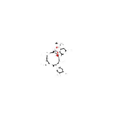 CC[C@H]1OC(=O)[C@H](C)[C@@H](O[C@H]2C[C@@](C)(OC)[C@@H](O)[C@H](C)O2)[C@H](C)[C@@H](OC2O[C@H](C)C[C@H](N(C)C)[C@H]2N(C(C)=O)[C@H](CSC(C)(C)C)C(=O)O)[C@](C)(O)C[C@@H](C)CN(C)[C@H](C)[C@@H](O)[C@]1(C)O